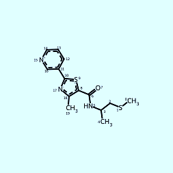 CSCC(C)NC(=O)c1sc(-c2cccnc2)nc1C